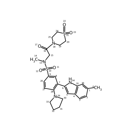 Cc1ccc2cc(-c3cc(S(=O)(=O)N(C)CC(=O)N4CCS(=O)(=O)CC4)ccc3N3CCCC3)[nH]c2c1